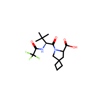 CC(C)(C)[C@H](NC(=O)C(F)(F)F)C(=O)N1CC2(CCC2)CC1C(=O)O